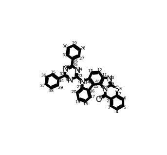 O=c1c2ccccc2sc2nc3ccc4c(c5ccccc5n4-c4nc(-c5ccccc5)nc(-c5ccccc5)n4)c3n12